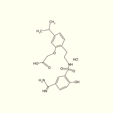 CC(C)c1ccc(CCNS(=O)(=O)c2cc(C(=N)N)ccc2O)c(OCC(=O)O)c1.Cl